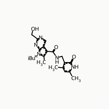 CC[C@@H](C)n1c(C)c(C(=O)NCc2c(C)cc(C)[nH]c2=O)c2cnc(CO)nc21